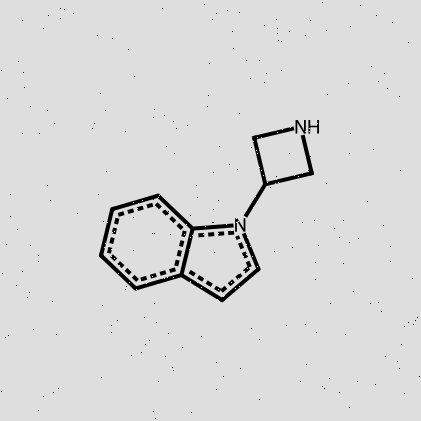 c1ccc2c(c1)ccn2C1CNC1